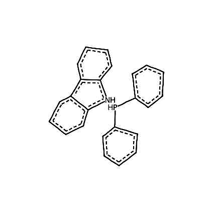 c1ccc(Pc2ccccc2)cc1.c1ccc2c(c1)[nH]c1ccccc12